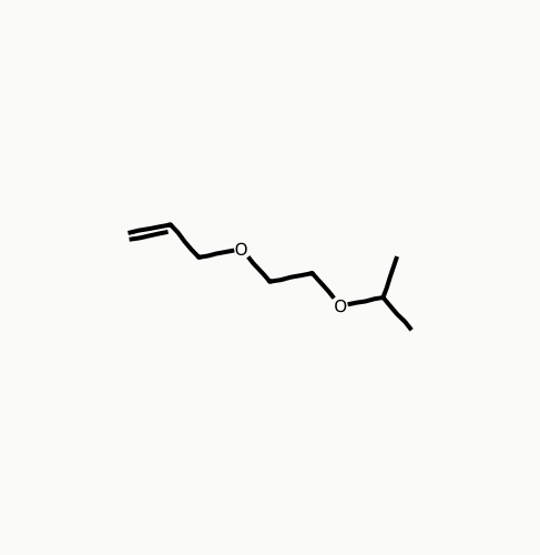 C=CCOCCO[C](C)C